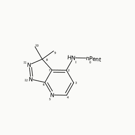 CCCCCNc1ccnc2c1C(C)(C)N=N2